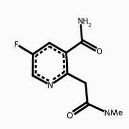 CNC(=O)Cc1ncc(F)cc1C(N)=O